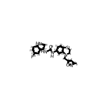 Cc1cc(CN2CCSc3ccc(NC(=O)Nc4c[nH]c5ccc(F)cc45)cc32)on1